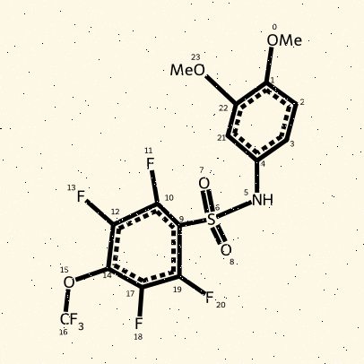 COc1ccc(NS(=O)(=O)c2c(F)c(F)c(OC(F)(F)F)c(F)c2F)cc1OC